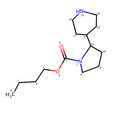 CCCCOC(=O)N1CCCC1C1CCNCC1